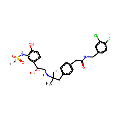 CC(C)(Cc1ccc(CC(=O)NCc2ccc(Cl)c(Cl)c2)cc1)NC[C@@H](O)c1ccc(O)c(NS(C)(=O)=O)c1